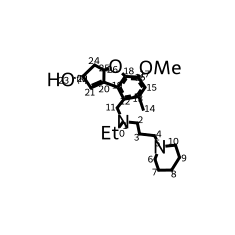 CCN(CCCN1CCCCC1)Cc1c(C)cc(OC)c2c1C1=C[C@H](O)CC1O2